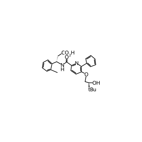 Cc1ccccc1[C@H](CC(=O)O)NC(=O)c1ccc(OC[C@@H](O)C(C)(C)C)c(-c2ccccc2)n1